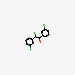 O=C(c1cccc(F)c1)C(Cl)c1cccc(F)c1